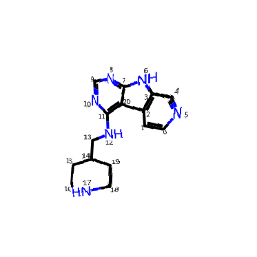 c1cc2c(cn1)[nH]c1ncnc(NCC3CCNCC3)c12